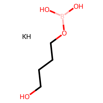 OCCCCOB(O)O.[KH]